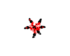 C=C[Si](C)(C)c1ccc(C(=O)OOC(=O)OCCC(COC(=O)OOC(=O)c2ccc([Si](C)(C)C=C)cc2)C(COC(=O)OOC(=O)c2ccc([Si](C)(C)C=C)cc2)C(COC(=O)OOC(=O)c2ccc([Si](C)(C)C=C)cc2)C(CCOC(=O)OOC(=O)c2ccc([Si](C)(C)C=C)cc2)COC(=O)OOC(=O)c2ccc([Si](C)(C)C=C)cc2)cc1